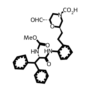 COC(=O)N[C@H](C(=O)Nc1ccccc1CC[C@@H]1CN(C(=O)O)C[C@@H](C=O)O1)C(c1ccccc1)c1ccccc1